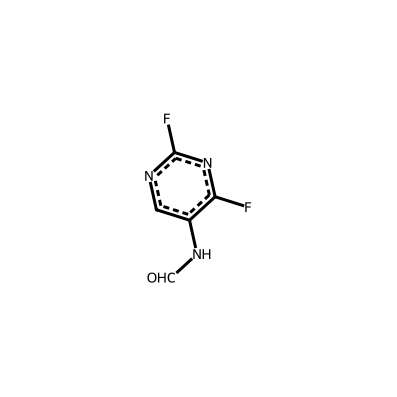 O=CNc1cnc(F)nc1F